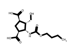 CCCCOC(=O)N[C@H]1[C@@H](CO)[C@H](C(=O)O)C[C@@H]1C(=O)O